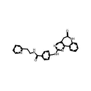 O=C1Cc2cnc(Nc3ccc(C(=O)NCCc4ccccn4)cc3)nc2-c2ccccc2N1